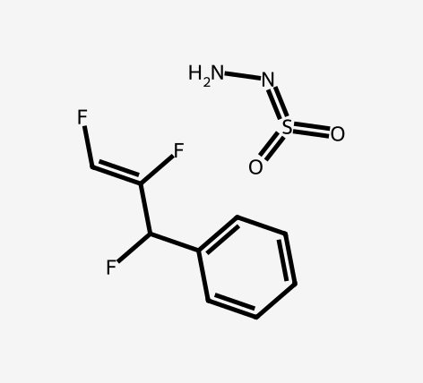 FC=C(F)C(F)c1ccccc1.NN=S(=O)=O